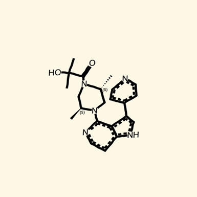 C[C@@H]1CN(c2nccc3[nH]cc(-c4ccncc4)c23)[C@@H](C)CN1C(=O)C(C)(C)O